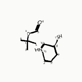 CC(C)(C)OC=O.S[C@H]1CCCNC1